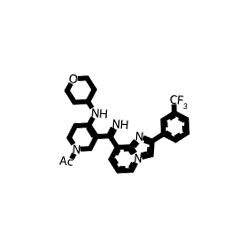 CC(=O)N1CCC(NC2CCOCC2)=C(C(=N)c2cccn3cc(-c4cccc(C(F)(F)F)c4)nc23)C1